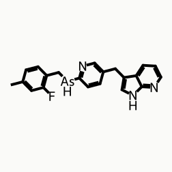 Cc1ccc(C[AsH]c2ccc(Cc3c[nH]c4ncccc34)cn2)c(F)c1